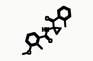 COc1cccc(C(=O)NC2(C(=O)c3ccccc3C)CC2)c1C